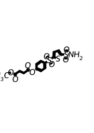 COC(=O)CCC(=O)Oc1ccc(S(=O)(=O)c2ccc(S(N)(=O)=O)s2)cc1